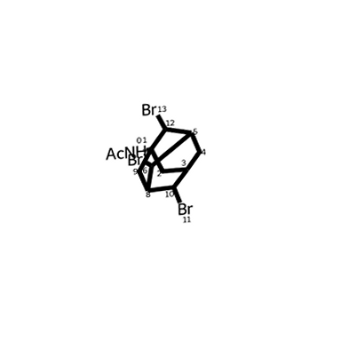 CC(=O)NC12CC3CC(C(Br)C(C1)C3Br)C2Br